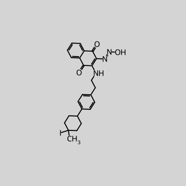 CC1(I)CCC(c2ccc(CCNC3=C(/N=N/O)C(=O)c4ccccc4C3=O)cc2)CC1